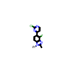 Cc1nc2c(F)c(-c3ccnc(Cl)n3)ccc2n1C(C)C